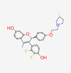 CC1=C(c2ccc(O)c(F)c2F)[C@H](c2ccc(OCCN3CC[C@@H](C)C3)cc2)Oc2cc(O)ccc21